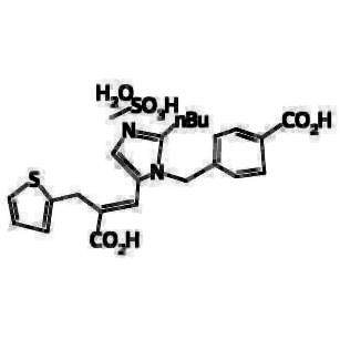 CCCCc1ncc(C=C(Cc2cccs2)C(=O)O)n1Cc1ccc(C(=O)O)cc1.CS(=O)(=O)O.O